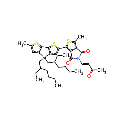 CCCCC(CC)C[Si]1(CC(CC)CCCC)c2cc(C)sc2-c2sc(-c3sc(C)c4c3C(=O)N(/C=C/C(C)=O)C4=O)cc21